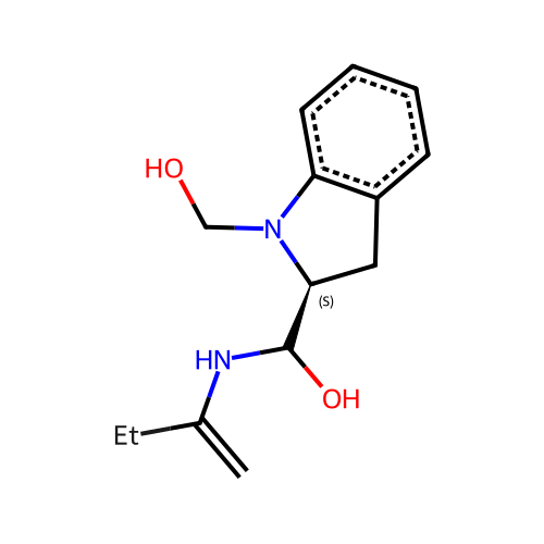 C=C(CC)NC(O)[C@@H]1Cc2ccccc2N1CO